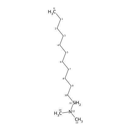 CCCCCCCCCCC[SiH2]N(C)C